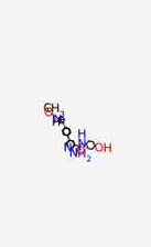 COCCN1C[C@@]2(c3ccc(-c4cnc(N)c(C(=O)N[C@H]5CC[C@H](O)CC5)c4)cc3)C3C1[C@H]32